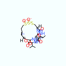 C/C=C1\NC(=O)[C@H]2CS[S+]([O-])[S+]([O-])CC/C=C/[C@H](CC(=O)N[C@H](C(C)C)C(=O)N2)OC(=O)C(C(C)C)NC1=O